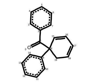 O=C(c1ccccc1)C1(c2ccccc2)C=CC=CC1